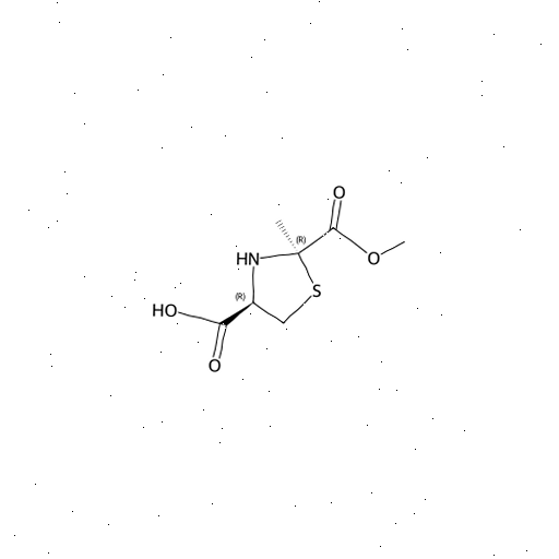 COC(=O)[C@]1(C)N[C@H](C(=O)O)CS1